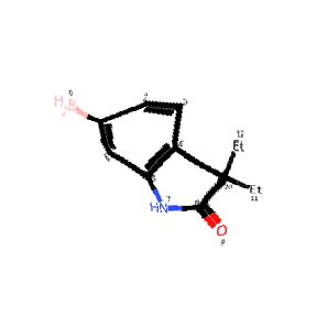 Bc1ccc2c(c1)NC(=O)C2(CC)CC